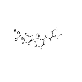 CCN(CC)CCN1CCCC(c2ccc(C(=O)OC)cc2)C1=O